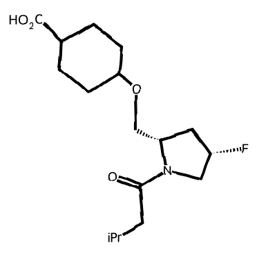 CC(C)CC(=O)N1C[C@@H](F)C[C@H]1COC1CCC(C(=O)O)CC1